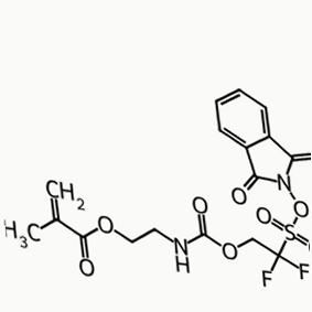 C=C(C)C(=O)OCCNC(=O)OCC(F)(F)S(=O)(=O)ON1C(=O)c2ccccc2C1=O